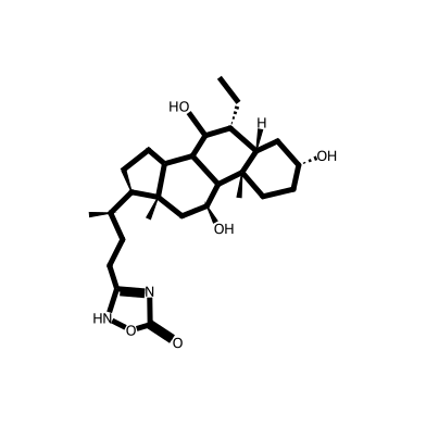 CC[C@H]1C(O)C2C3CC[C@H]([C@H](C)CCc4nc(=O)o[nH]4)[C@@]3(C)C[C@H](O)C2[C@@]2(C)CC[C@@H](O)C[C@@H]12